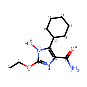 CCOc1nc(C(N)=O)c(C2CCCCC2)n1O